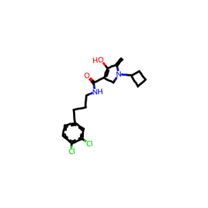 C=C1C(O)=C(C(=O)NCCCc2ccc(Cl)c(Cl)c2)CN1C1CCC1